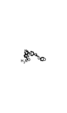 NC(=O)c1ccc2cncc(N3CCC(OCCOC4CCOCC4)CC3)c2n1